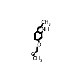 COCCOc1ccc2cc(C)[nH]c2c1